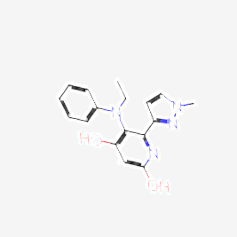 CCN(c1ccccc1)c1c(O)[c]c(O)nc1-c1ccn(C)n1